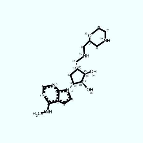 CNc1ncnc2c1ccn2[C@@H]1C[C@H](CNCC2CNCCO2)[C@@H](O)[C@H]1O